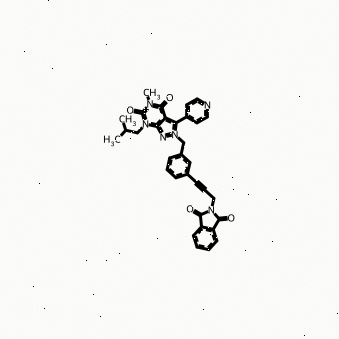 CC(C)Cn1c(=O)n(C)c(=O)c2c(-c3ccncc3)n(Cc3cccc(C#CCN4C(=O)c5ccccc5C4=O)c3)nc21